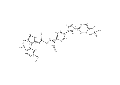 COc1ccc(C(C)C)c(N2C(C)=CS/C2=C\C(=O)N/C=C(\C#N)c2ccc(-c3ncn(-c4ccc(OC(F)(F)F)cc4)n3)cc2)c1